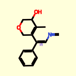 C=N/C=C(\C1=C(C)C(O)COC1)c1ccccc1